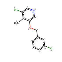 Cc1c(Br)cncc1OCc1cccc(Cl)c1